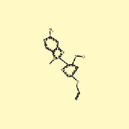 C=CCOc1cnc(-c2nc3cc(C(F)(F)F)ncc3n2C)c(SCC)c1